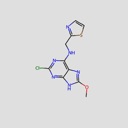 COc1nc2c(NCc3nccs3)nc(Cl)nc2[nH]1